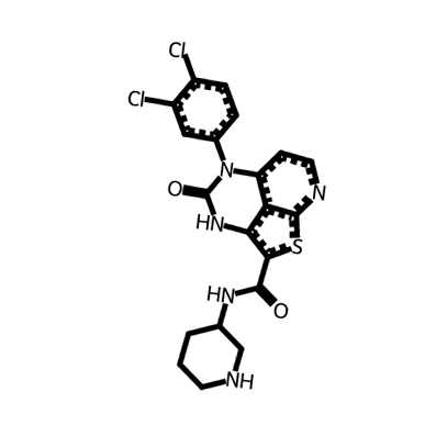 O=C(NC1CCCNC1)c1sc2nccc3c2c1NC(=O)N3c1ccc(Cl)c(Cl)c1